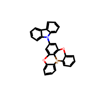 c1ccc2c(c1)Oc1cc(-n3c4ccccc4c4ccccc43)cc3c1[SH]2c1ccccc1O3